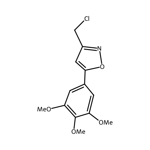 COc1cc(-c2cc(CCl)no2)cc(OC)c1OC